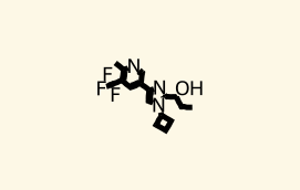 CCC(O)c1nc(-c2cnc(C)c(C(F)(F)F)c2)cn1C1CCC1